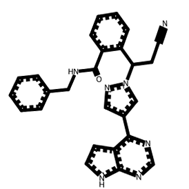 N#CCC(c1ccccc1C(=O)NCc1ccccc1)n1cc(-c2ncnc3[nH]ccc23)cn1